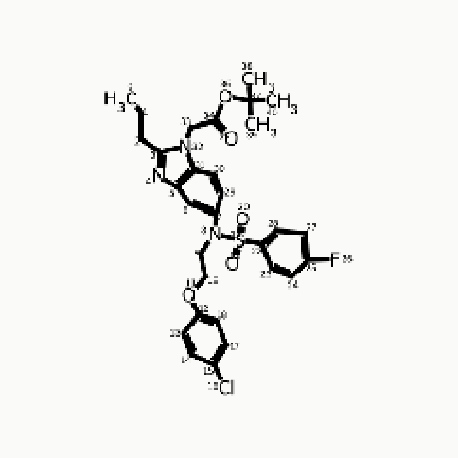 CCCc1nc2cc(N(CCOc3ccc(Cl)cc3)S(=O)(=O)c3ccc(F)cc3)ccc2n1CC(=O)OC(C)(C)C